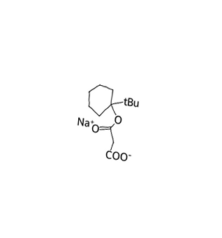 CC(C)(C)C1(OC(=O)CC(=O)[O-])CCCCC1.[Na+]